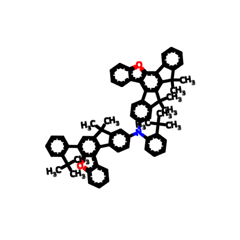 CC(C)(C)c1ccccc1-c1cc2c(c3c1oc1ccccc13)-c1ccc(N(c3ccc4c(c3)C(C)(C)c3c5c(c6oc7ccccc7c6c3-4)-c3ccccc3C5(C)C)c3ccccc3C(C)(C)C)cc1C2(C)C